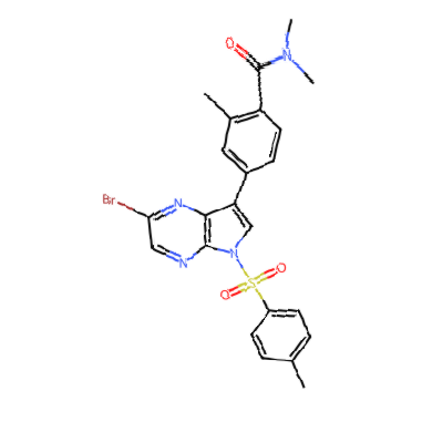 Cc1ccc(S(=O)(=O)n2cc(-c3ccc(C(=O)N(C)C)c(C)c3)c3nc(Br)cnc32)cc1